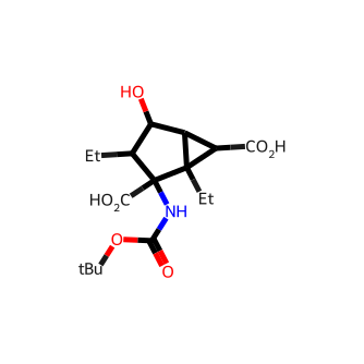 CCC1C(O)C2C(C(=O)O)C2(CC)C1(NC(=O)OC(C)(C)C)C(=O)O